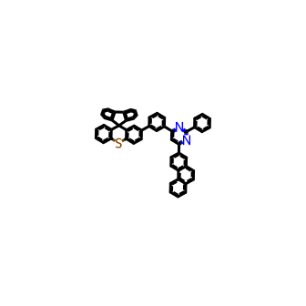 c1ccc(-c2nc(-c3cccc(-c4ccc5c(c4)C4(c6ccccc6S5)c5ccccc5-c5ccccc54)c3)cc(-c3ccc4c(ccc5ccccc54)c3)n2)cc1